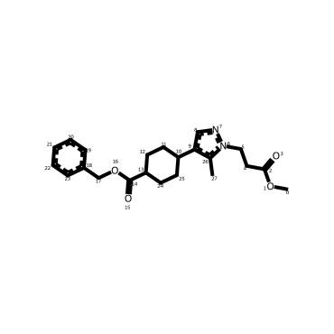 COC(=O)CCn1ncc(C2CCC(C(=O)OCc3ccccc3)CC2)c1C